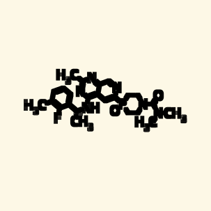 Cc1nc(N[C@H](C)c2cccc(C)c2F)c2cc(P3(=O)CCN(C(=O)N(C)C)CC3)ncc2n1